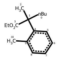 CCCCC(C)(C(=O)OCC)c1ccccc1C